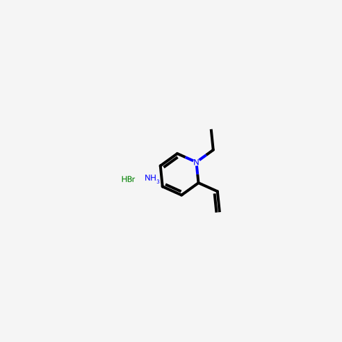 Br.C=CC1C=CC=CN1CC.N